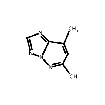 Cc1cc(O)nn2ncnc12